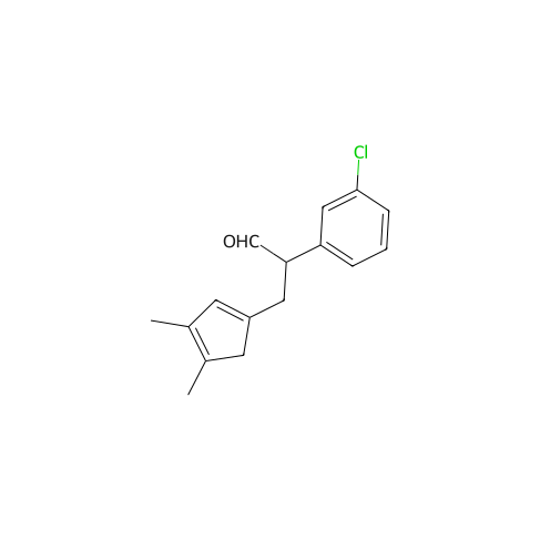 CC1=C(C)CC(CC(C=O)c2cccc(Cl)c2)=C1